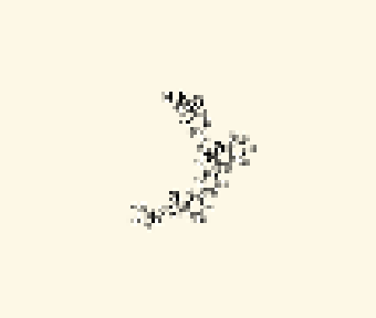 NS(=O)(=O)c1ccc(CCN(Cc2cccc(-c3cccc(C(=O)NCCN4CCCC4)c3)c2)C(=O)C=Cc2ccccc2)cc1